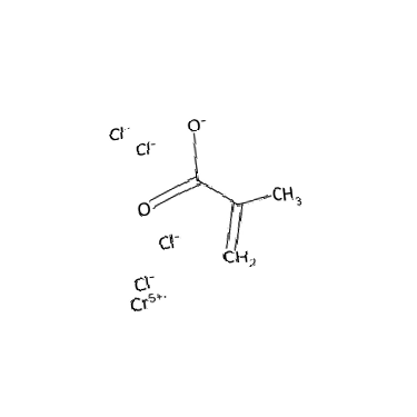 C=C(C)C(=O)[O-].[Cl-].[Cl-].[Cl-].[Cl-].[Cr+5]